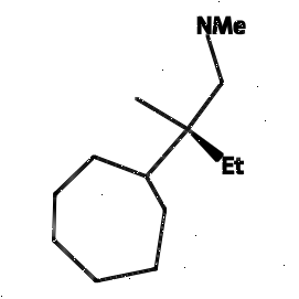 CC[C@@](C)(CNC)C1CCCCCC1